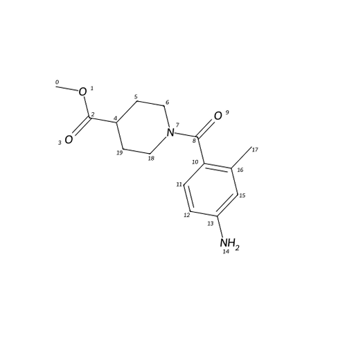 COC(=O)C1CCN(C(=O)c2ccc(N)cc2C)CC1